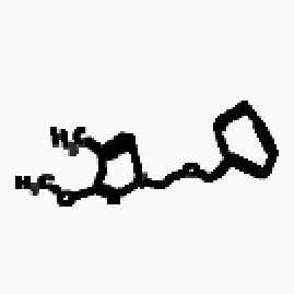 COc1nn(COCc2ccccc2)cc1C